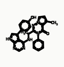 Cc1ccn2nc(C(C)Nc3ncnc4[nH]cc(-c5ccc(O)cc5)c34)n(-c3ccccc3)c(=O)c12